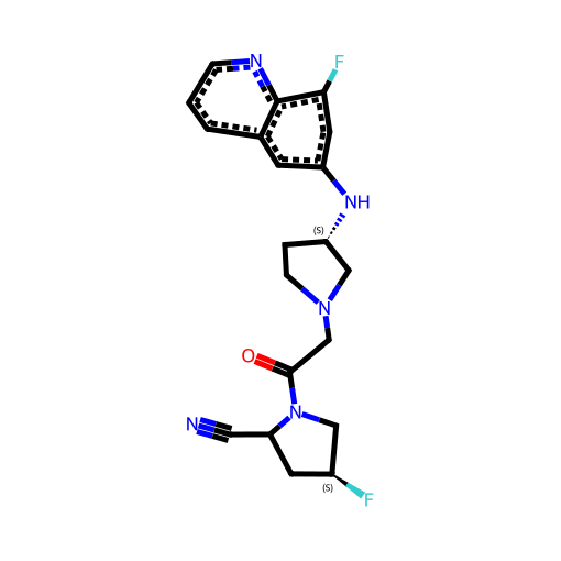 N#CC1C[C@H](F)CN1C(=O)CN1CC[C@H](Nc2cc(F)c3ncccc3c2)C1